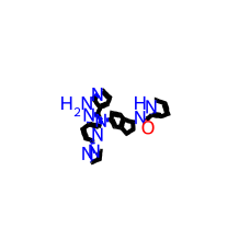 Nc1ncccc1-c1nc2ccc(-n3cccn3)nc2n1-c1ccc2c(c1)CC[C@@H]2NC(=O)c1ccccn1